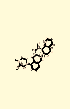 CN1CCN(c2cccc3c2C[C@H](CN(C)[C@H]2CCCc4cccnc42)NC3)CC1=O